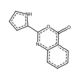 O=c1oc(-c2ccc[nH]2)nc2ccccc12